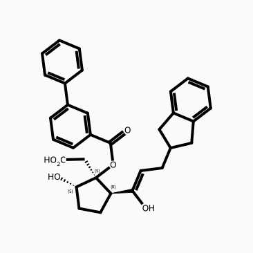 O=C(O)C[C@]1(OC(=O)c2cccc(-c3ccccc3)c2)[C@@H](C(O)=CCC2Cc3ccccc3C2)CC[C@@H]1O